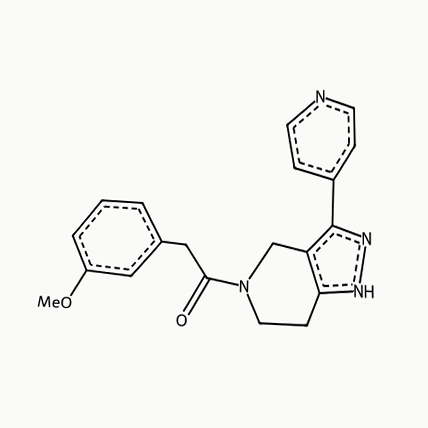 COc1cccc(CC(=O)N2CCc3[nH]nc(-c4ccncc4)c3C2)c1